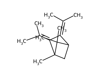 CC(C)=C1C(=C(C)C)C2(C)CC1C2(C)C